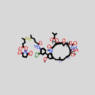 COc1cc2cc(c1-c1ccc(NC(=O)CCC(C)SSC(C)CCC(=O)ON3C(=O)CCC3=O)c(Cl)c1)N(C)C(=O)C[C@H](OC(=O)C(C)C)[C@@]1(C)CC(C)(O1)[C@@H]1C[C@@](O)(NC(=O)O1)[C@H](OC)/C=C/C=C(\C)C2